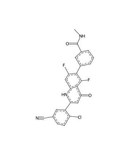 CNC(=O)c1cccc(-c2c(F)cc3[nH]c(-c4cc(C#N)ccc4Cl)cc(=O)c3c2F)c1